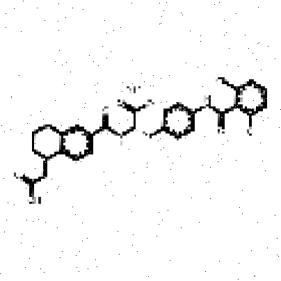 O=C(O)/C=C1\CCCc2cc(C(=O)N[C@@H](Cc3ccc(NC(=O)c4c(Cl)cccc4Cl)cc3)C(=O)[O-])ccc21.[Na+]